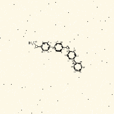 COc1ccc(-c2ccc(Oc3ccc(-c4ccccc4)cc3)cc2)cc1